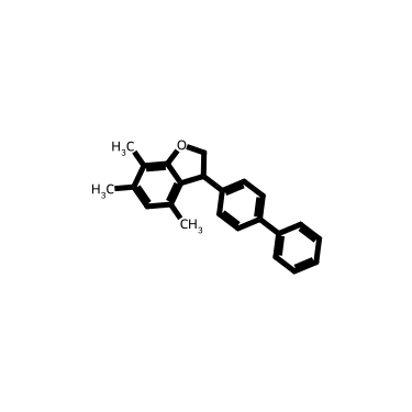 Cc1cc(C)c2c(c1C)OCC2c1ccc(-c2ccccc2)cc1